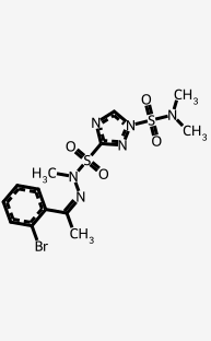 C/C(=N/N(C)S(=O)(=O)c1ncn(S(=O)(=O)N(C)C)n1)c1ccccc1Br